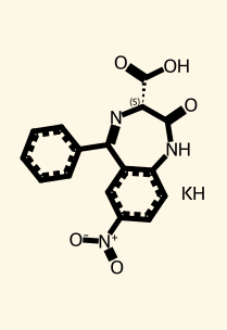 O=C(O)[C@H]1N=C(c2ccccc2)c2cc([N+](=O)[O-])ccc2NC1=O.[KH]